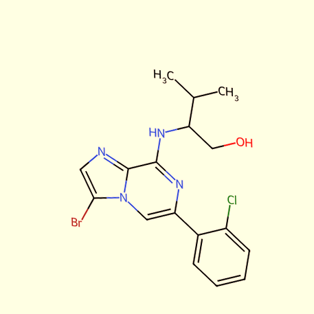 CC(C)C(CO)Nc1nc(-c2ccccc2Cl)cn2c(Br)cnc12